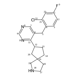 Fc1ccc(Cc2cncnc2C2CCC3(CCNC3)C2)c(Cl)c1